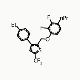 CCCc1ccc(OCc2sc(C(F)(F)F)cc2-c2ccc(CC)cc2)c(F)c1F